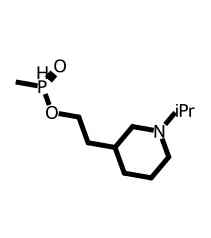 CC(C)N1CCCC(CCO[PH](C)=O)C1